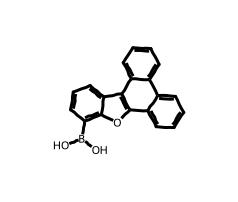 OB(O)c1cccc2c1oc1c3ccccc3c3ccccc3c21